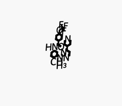 Cc1ccc(NC(=O)c2ccc(OC(F)(F)F)cc2)cc1Nc1nccc(-c2ccncc2)n1